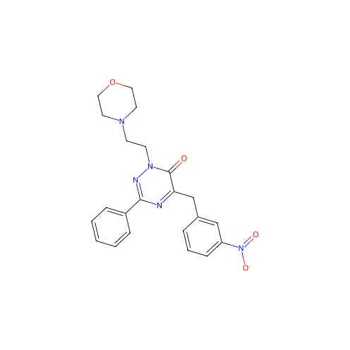 O=c1c(Cc2cccc([N+](=O)[O-])c2)nc(-c2ccccc2)nn1CCN1CCOCC1